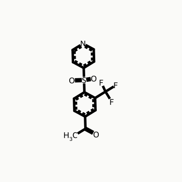 CC(=O)c1ccc(S(=O)(=O)c2ccncc2)c(C(F)(F)F)c1